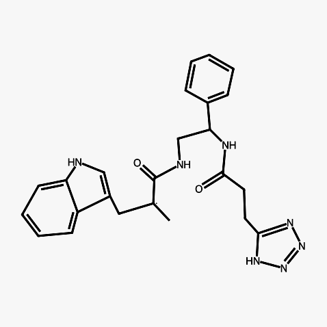 C[C](Cc1c[nH]c2ccccc12)C(=O)NCC(NC(=O)CCc1nnn[nH]1)c1ccccc1